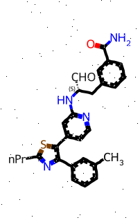 CCCc1nc(-c2cccc(C)c2)c(-c2ccnc(N[C@H](C=O)Cc3cccc(C(N)=O)c3)c2)s1